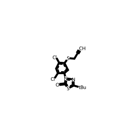 C#CCSc1cc(-n2nc(C(C)(C)C)sc2=O)c(Cl)cc1Cl